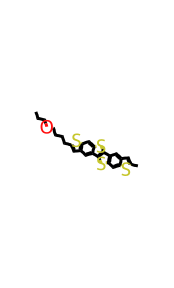 CCCOCCCCc1cc2cc3c(cc2s1)sc1c2cc4cc(C)sc4cc2sc31